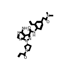 C=CC(=O)N1CC[C@@H](n2nc(C(=O)Nc3ccc(CC(=O)N(C)C)cc3C=C)c3c(N)ncnc32)C1